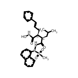 CC(C)C[C@@H](C(=O)NN(c1cccc2ccccc12)S(C)(=O)=O)[C@H](CC=Cc1ccccc1)C(=O)NO